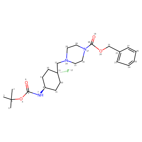 CC(C)(C)OC(=O)N[C@H]1CC[C@@](F)(CN2CCN(C(=O)OCc3ccccc3)CC2)CC1